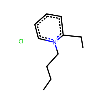 CCCC[n+]1ccccc1CC.[Cl-]